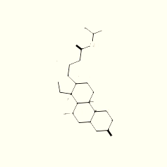 CC(Cl)NC(=O)C[C@@H](C)[C@H]1CC[C@H]2[C@@H]3[C@H](O)C[C@@H]4CC(=O)CC[C@]4(C)[C@H]3CC[C@]12C